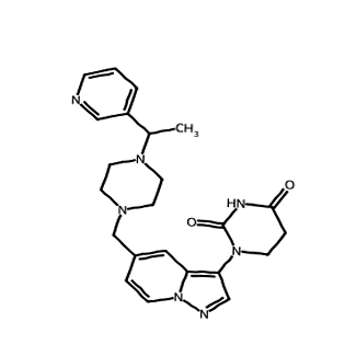 CC(c1cccnc1)N1CCN(Cc2ccn3ncc(N4CCC(=O)NC4=O)c3c2)CC1